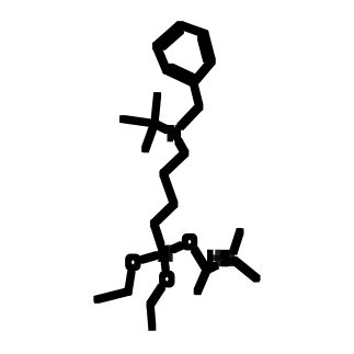 CCO[Si](CCCCN(Cc1ccccc1)C(C)(C)C)(OCC)OC(C)[SiH](C)C